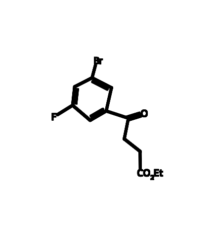 CCOC(=O)CCC(=O)c1cc(F)cc(Br)c1